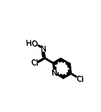 ON=C(Cl)c1ccc(Cl)cn1